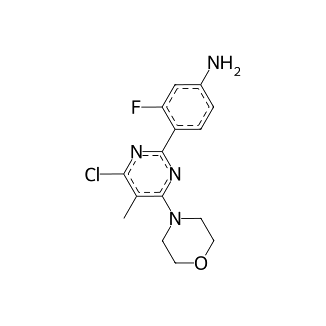 Cc1c(Cl)nc(-c2ccc(N)cc2F)nc1N1CCOCC1